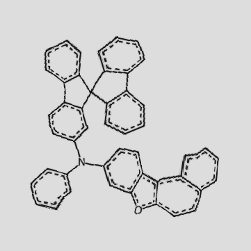 c1ccc(N(c2ccc3c(c2)C2(c4ccccc4-c4ccccc42)c2ccccc2-3)c2ccc3c(c2)oc2ccc4ccccc4c23)cc1